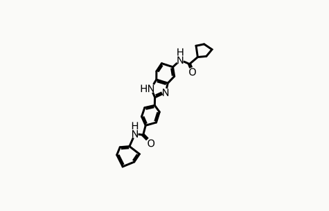 O=C(Nc1ccccc1)c1ccc(-c2nc3cc(NC(=O)C4CCCC4)ccc3[nH]2)cc1